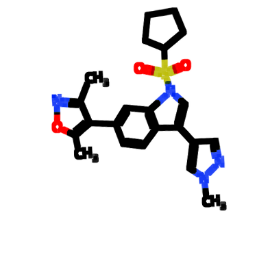 Cc1noc(C)c1-c1ccc2c(-c3cnn(C)c3)cn(S(=O)(=O)C3CCCC3)c2c1